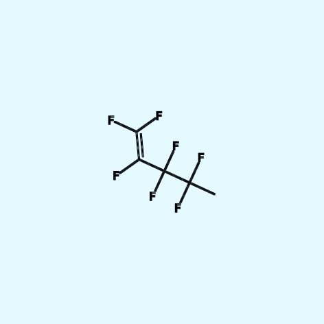 CC(F)(F)C(F)(F)C(F)=C(F)F